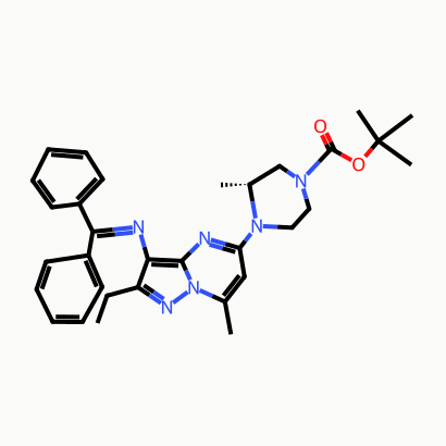 CCc1nn2c(C)cc(N3CCN(C(=O)OC(C)(C)C)C[C@H]3C)nc2c1N=C(c1ccccc1)c1ccccc1